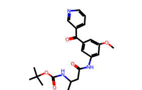 COc1cc(NC(=O)CC(C)NC(=O)OC(C)(C)C)cc(C(=O)c2cccnc2)c1